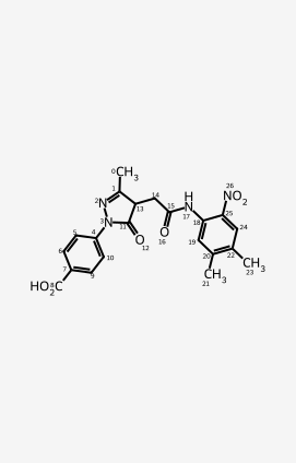 CC1=NN(c2ccc(C(=O)O)cc2)C(=O)C1CC(=O)Nc1cc(C)c(C)cc1[N+](=O)[O-]